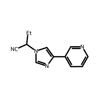 CCC(C#N)n1cnc(-c2cccnc2)c1